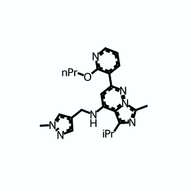 CCCOc1ncccc1-c1cc(NCc2cnn(C)c2)c2c(C(C)C)nc(C)n2n1